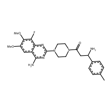 COc1cc2c(N)nc(N3CCN(C(=O)CC(N)c4ccc(C)cc4)CC3)nc2c(F)c1OC